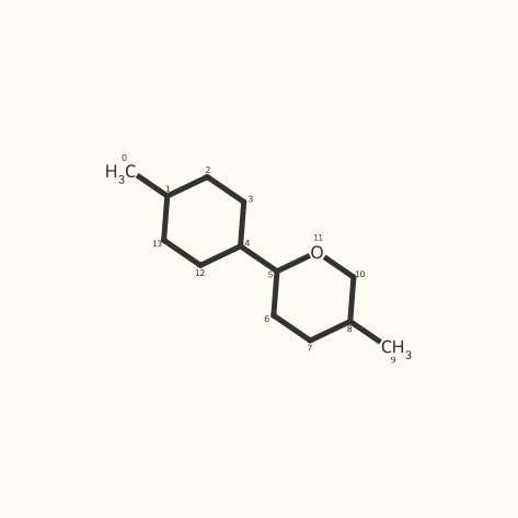 CC1CCC(C2CCC(C)CO2)CC1